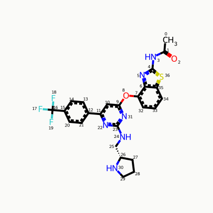 CC(=O)Nc1nc2c(Oc3cc(-c4ccc(C(F)(F)F)cc4)nc(NC[C@@H]4CCCN4)n3)cccc2s1